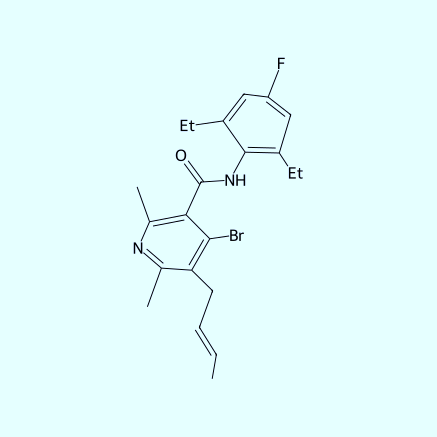 CC=CCc1c(C)nc(C)c(C(=O)Nc2c(CC)cc(F)cc2CC)c1Br